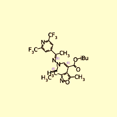 C/C=C/N(/C=C(/C(=O)OC(C)CC)c1c(C)noc1C)/N=C(\C)c1cc(C(F)(F)F)nc(C(F)(F)F)c1